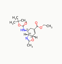 CCOC(=O)C1=C[C@@H]2OC(C)=N[C@@H]2[C@@H](NC(=O)OC(C)(C)C)C1